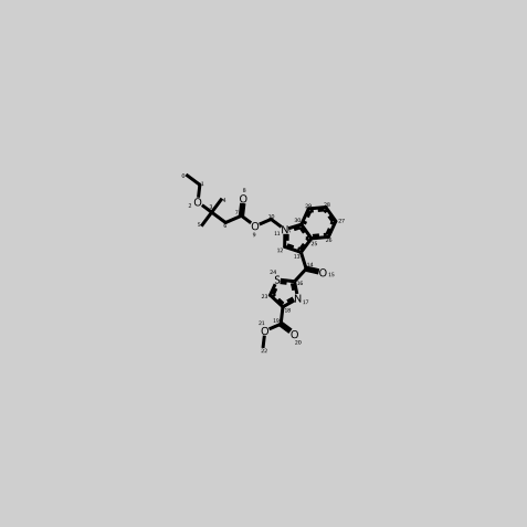 CCOC(C)(C)CC(=O)OCn1cc(C(=O)c2nc(C(=O)OC)cs2)c2ccccc21